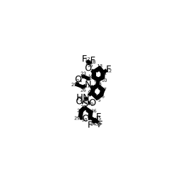 O=S(=O)(Nc1cccc(-c2cc(F)cc(OC(F)F)c2)c1N1CCOCC1)c1cccc(C(F)(F)F)c1